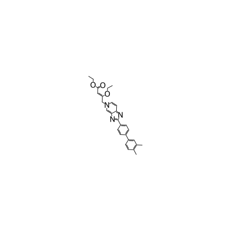 CCOC(=O)C=C(Cn1ccc2nc(-c3ccc(-c4ccc(C)c(C)c4)cc3)nc-2c1)OCC